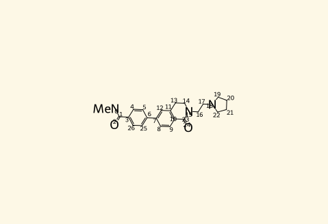 CNC(=O)c1ccc(-c2ccc3c(c2)CCN(CCN2CCCC2)C3=O)cc1